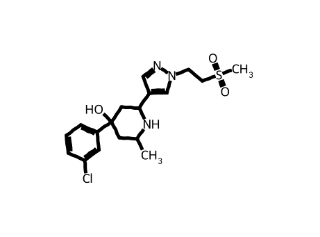 CC1CC(O)(c2cccc(Cl)c2)CC(c2cnn(CCS(C)(=O)=O)c2)N1